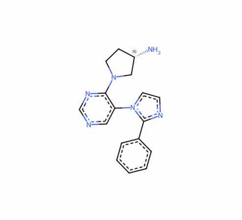 N[C@H]1CCN(c2ncncc2-n2ccnc2-c2ccccc2)C1